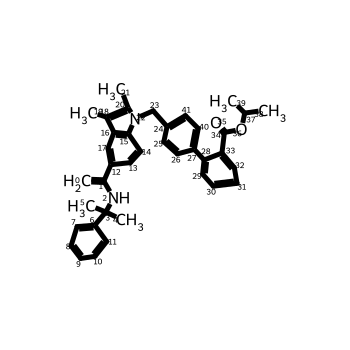 C=C(NC(C)(C)c1ccccc1)c1ccc2c(c1)c(C)c(C)n2Cc1ccc(-c2ccccc2C(=O)OC(C)C)cc1